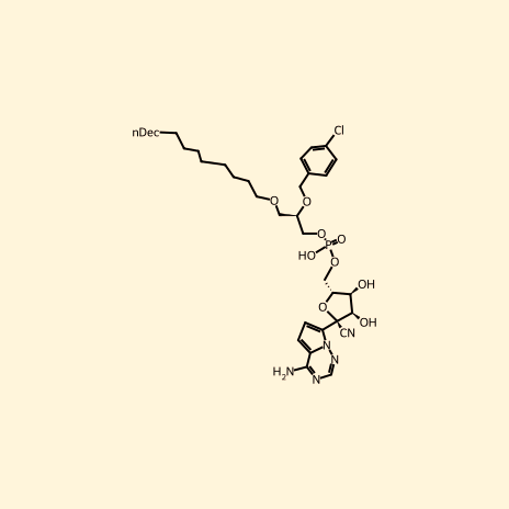 CCCCCCCCCCCCCCCCCCOC[C@H](COP(=O)(O)OC[C@H]1O[C@@](C#N)(c2ccc3c(N)ncnn23)[C@H](O)[C@@H]1O)OCc1ccc(Cl)cc1